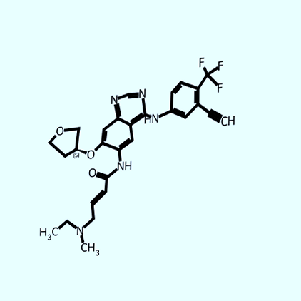 C#Cc1cc(Nc2ncnc3cc(O[C@H]4CCOC4)c(NC(=O)C=CCN(C)CC)cc23)ccc1C(F)(F)F